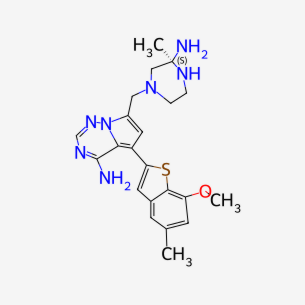 COc1cc(C)cc2cc(-c3cc(CN4CCN[C@](C)(N)C4)n4ncnc(N)c34)sc12